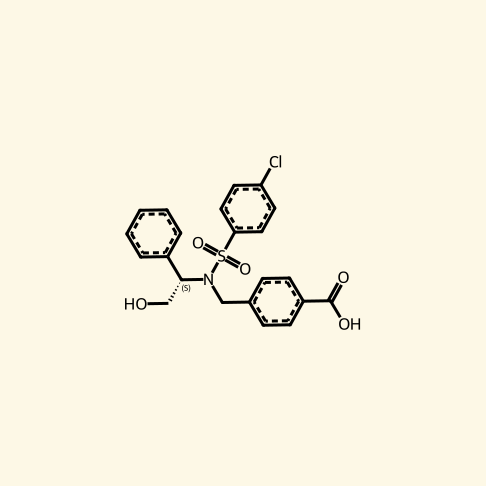 O=C(O)c1ccc(CN([C@H](CO)c2ccccc2)S(=O)(=O)c2ccc(Cl)cc2)cc1